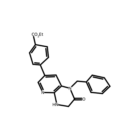 CCOC(=O)c1ccc(-c2cnc3c(c2)N(Cc2ccccc2)C(=O)CN3)cc1